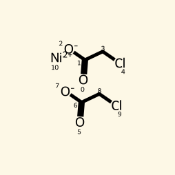 O=C([O-])CCl.O=C([O-])CCl.[Ni+2]